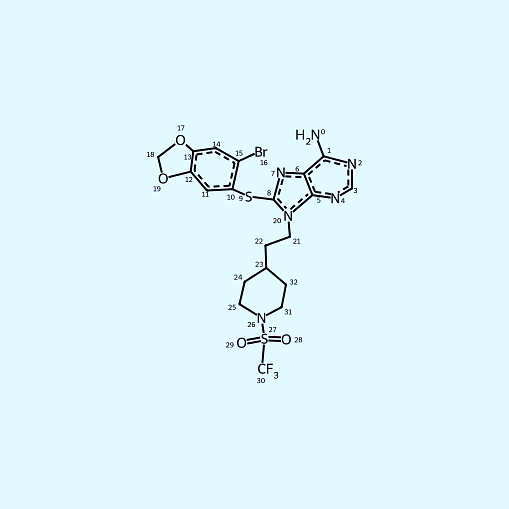 Nc1ncnc2c1nc(Sc1cc3c(cc1Br)OCO3)n2CCC1CCN(S(=O)(=O)C(F)(F)F)CC1